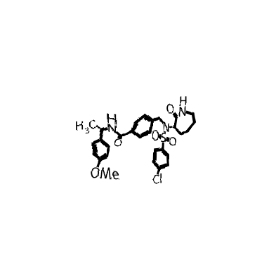 COc1ccc([C@@H](C)NC(=O)c2ccc(CN([C@@H]3CCCCNC3=O)S(=O)(=O)c3ccc(Cl)cc3)cc2)cc1